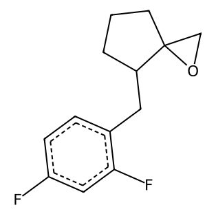 Fc1ccc(CC2CCCC23CO3)c(F)c1